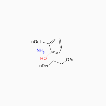 CCCCCCCCCCCCOC(C)=O.CCCCCCCCc1ccccc1O.N